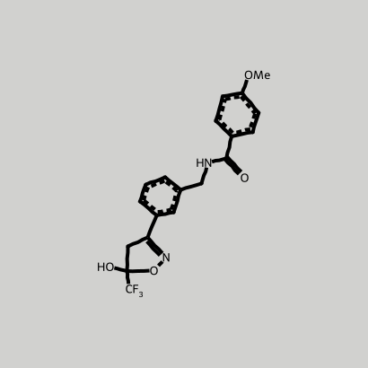 COc1ccc(C(=O)NCc2cccc(C3=NOC(O)(C(F)(F)F)C3)c2)cc1